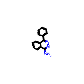 Nc1nnc(-c2ccccc2)c2ccccc12